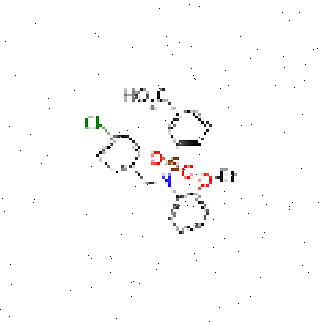 CCOc1ccccc1N(Cc1ccc(Cl)cc1)S(=O)(=O)c1cccc(C(=O)O)c1